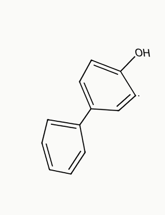 Oc1[c]cc(-c2ccccc2)cc1